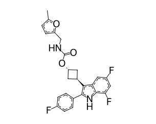 Cc1ccc(CNC(=O)O[C@H]2C[C@H](c3c(-c4ccc(F)cc4)[nH]c4c(F)cc(F)cc43)C2)o1